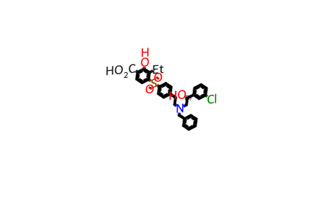 CCc1c(S(=O)(=O)c2ccc(CCN(Cc3ccccc3)C[C@H](O)c3cccc(Cl)c3)cc2)ccc(C(=O)O)c1O